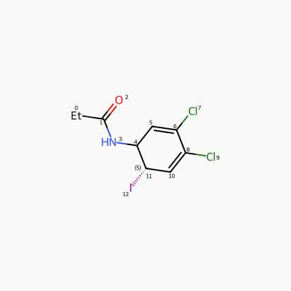 CCC(=O)NC1C=C(Cl)C(Cl)=C[C@@H]1I